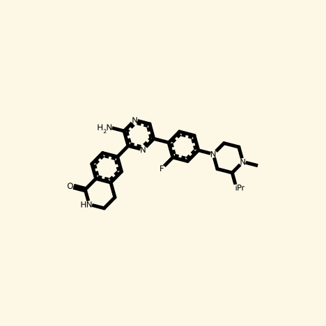 CC(C)C1CN(c2ccc(-c3cnc(N)c(-c4ccc5c(c4)CCNC5=O)n3)c(F)c2)CCN1C